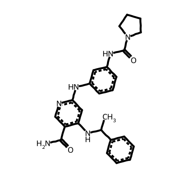 CC(Nc1cc(Nc2cccc(NC(=O)N3CCCC3)c2)ncc1C(N)=O)c1ccccc1